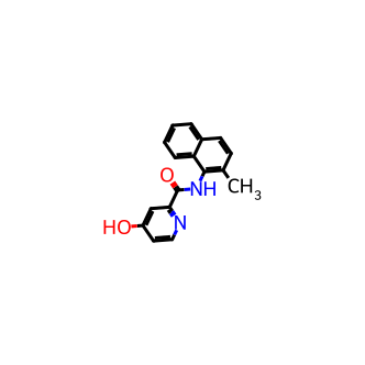 Cc1ccc2ccccc2c1NC(=O)c1cc(O)ccn1